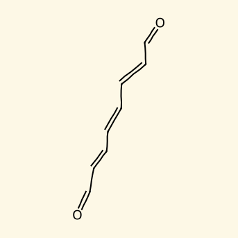 O=C/C=C/C=C/C=C/C=O